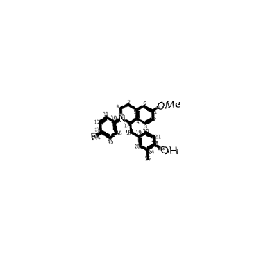 COc1ccc2c(c1)CCN(c1ccc(F)cc1)C2Cc1ccc(O)c(C)c1